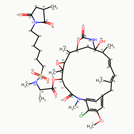 COc1cc2cc(c1Cl)N(C)C(=O)CC(OC(=O)[C@H](C)N(C)S(=O)(=O)CCCCCCN1C(=O)CC(C)C1=O)C1(C)OC1C(C)C1CC(O)(NC(=O)O1)C(C)/C=C/C=C(\C)C2